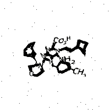 C[C@H]1CC[C@H](Cn2c(N3CCOC[C@H]3c3ccccc3)nc3c2C(N)N(CCC2CCC2)C(C(=O)O)=N3)CC1